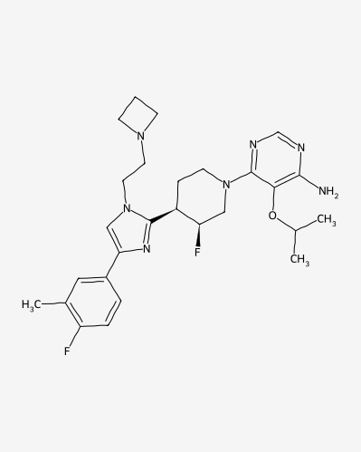 Cc1cc(-c2cn(CCN3CCC3)c([C@H]3CCN(c4ncnc(N)c4OC(C)C)C[C@H]3F)n2)ccc1F